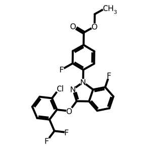 CCOC(=O)c1ccc(-n2nc(Oc3c(Cl)cccc3C(F)F)c3cccc(F)c32)c(F)c1